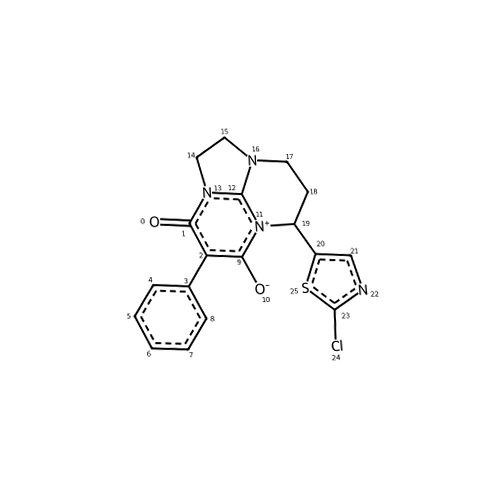 O=c1c(-c2ccccc2)c([O-])[n+]2c3n1CCN3CCC2c1cnc(Cl)s1